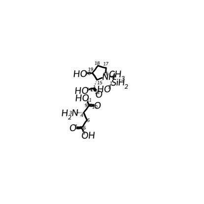 C[SiH2]O.N[C@@H](CC(=O)O)C(=O)O.O=C(O)[C@H]1NCCC1O